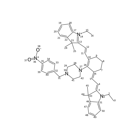 CCN1/C(=C/C=C2\CCCC(/C=C/C3=[N+](CC)c4ccccc4C3(C)C)=C2N2CCN(Cc3ccc([N+](=O)[O-])cc3)CC2)C(C)(C)c2ccccc21